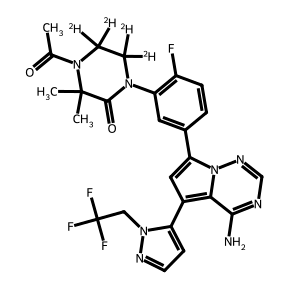 [2H]C1([2H])N(c2cc(-c3cc(-c4ccnn4CC(F)(F)F)c4c(N)ncnn34)ccc2F)C(=O)C(C)(C)N(C(C)=O)C1([2H])[2H]